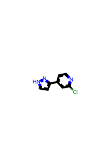 Clc1cc(-c2c[c][nH]n2)ccn1